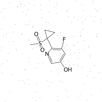 CS(=O)(=O)C1(c2ncc(O)cc2F)CC1